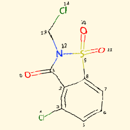 O=C1c2c(Cl)cccc2S(=O)(=O)N1CCl